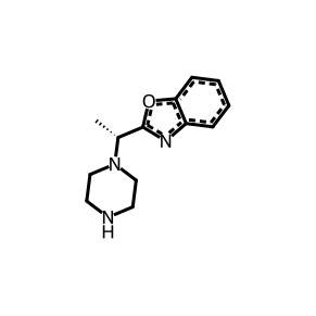 C[C@H](c1nc2ccccc2o1)N1CCNCC1